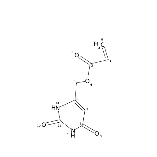 C=CC(=O)OCc1cc(=O)[nH]c(=O)[nH]1